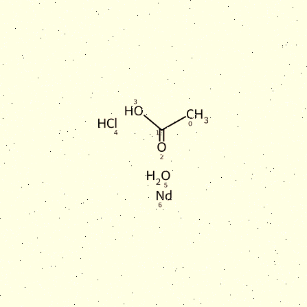 CC(=O)O.Cl.O.[Nd]